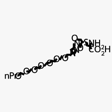 CCCOCCOCCOCCOCCOCCOCCOCCn1cnc(CN2C(=O)CC(SCC(N)C(=O)O)C2=O)c1